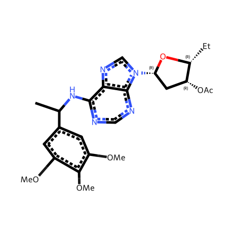 CC[C@H]1O[C@@H](n2cnc3c(NC(C)c4cc(OC)c(OC)c(OC)c4)ncnc32)C[C@H]1OC(C)=O